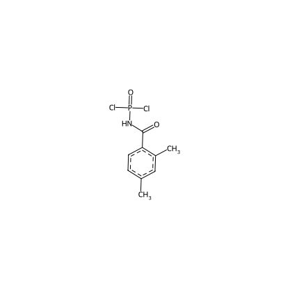 Cc1ccc(C(=O)NP(=O)(Cl)Cl)c(C)c1